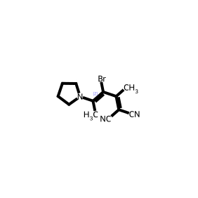 CC(=C(C#N)C#N)/C(Br)=C(\C)N1CCCC1